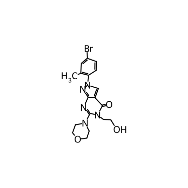 Cc1cc(Br)ccc1-n1cc2c(=O)n(CCO)c(N3CCOCC3)nc2n1